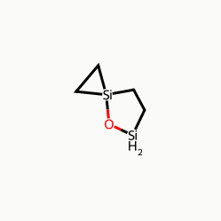 C1C[Si]2(CC2)O[SiH2]1